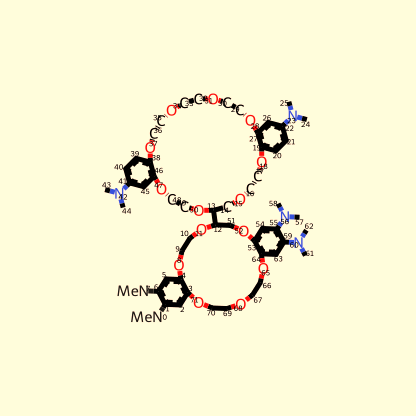 CNc1cc2c(cc1NC)OCCOC(C1COCCOc3ccc(N(C)C)cc3OCCOCCOCCOc3ccc(N(C)C)cc3OCCO1)COc1cc(N(C)C)c(N(C)C)cc1OCCOCCO2